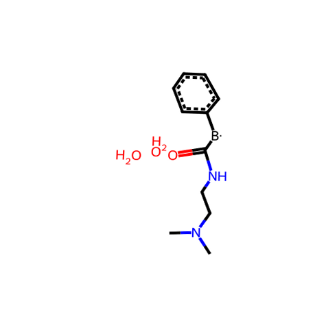 CN(C)CCNC(=O)[B]c1ccccc1.O.O